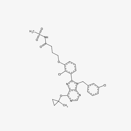 CC1(Oc2ncnc3c2nc(-c2cccc(OCCCC(=O)NS(C)(=O)=O)c2Cl)n3Cc2cccc(Cl)c2)CC1